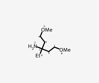 CCC(N)(CCOC)CCOC